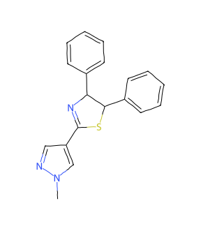 Cn1cc(C2=NC(c3ccccc3)C(c3ccccc3)S2)cn1